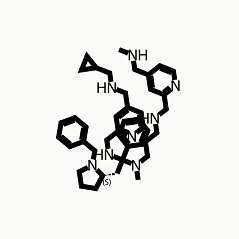 CNCc1ccnc(CNCCCN(C)C(C[C@@H]2CCCN2Cc2ccccc2)(NCc2cc(CNCC3CC3)ccn2)c2ccccc2)c1